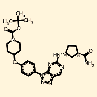 CC(C)(C)OC(=O)N1CCC(Oc2ccc(-n3nnc4cnc(N[C@@H]5CC[C@@H](C(N)=O)C5)nc43)cc2)CC1